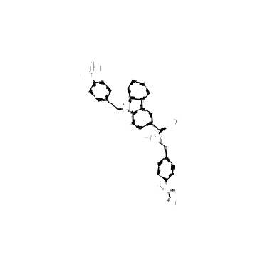 CCS(=O)(=O)c1ccc(CNC(=O)c2ccc3c(c2)c2ccccc2n3Cc2ccc(OC(C)C)cc2)cc1